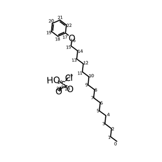 CCCCCCCCCCCCCCCCOc1ccccc1.O=S(=O)(O)Cl